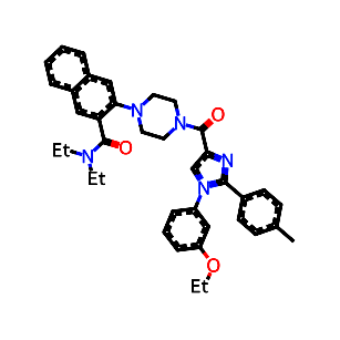 CCOc1cccc(-n2cc(C(=O)N3CCN(c4cc5ccccc5cc4C(=O)N(CC)CC)CC3)nc2-c2ccc(C)cc2)c1